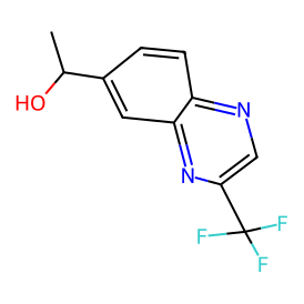 CC(O)c1ccc2ncc(C(F)(F)F)nc2c1